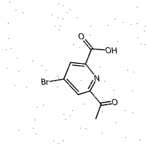 CC(=O)c1cc(Br)cc(C(=O)O)n1